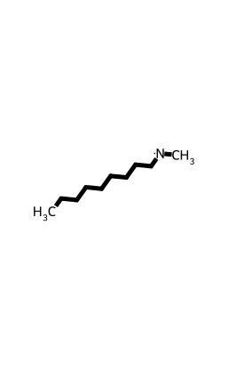 CCCCCCCCC[N]C